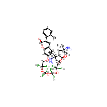 CCc1ccccc1-c1cc2ccc(OCC(F)(F)OC(F)(F)OC(F)(F)OC(F)(F)COC(=O)C(CC(C)(C)N)C(C)(C)N)cc2oc1=O